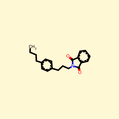 CCCCc1ccc(CCCN2C(=O)c3ccccc3C2=O)cc1